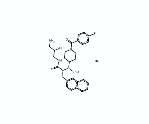 Cl.NCC(O)CNC(=O)[C@@H](Cc1ccc2ccccc2c1)N(C=O)C1CCN(C(=O)c2ccc(F)cc2)CC1